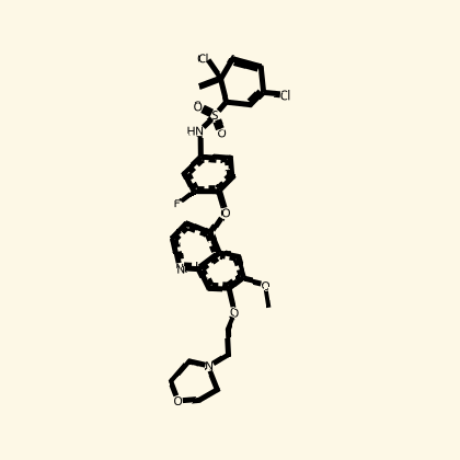 COc1cc2c(Oc3ccc(NS(=O)(=O)C4C=C(Cl)C=CC4(C)Cl)cc3F)ccnc2cc1OCCN1CCOCC1